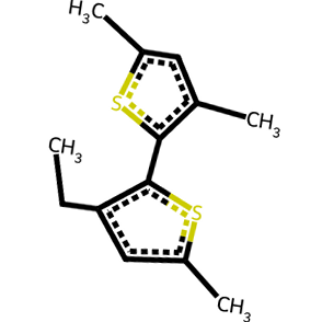 CCc1cc(C)sc1-c1sc(C)cc1C